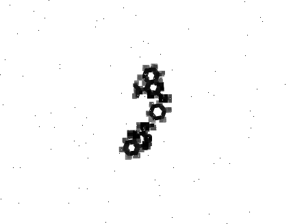 CN(C)c1nc(N[C@H]2CC[C@@H](CNC(=O)Nc3ccccc3Br)CC2)nc2ccccc12